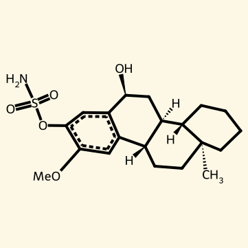 COc1cc2c(cc1OS(N)(=O)=O)[C@@H](O)C[C@@H]1[C@@H]2CC[C@]2(C)CCCC[C@@H]12